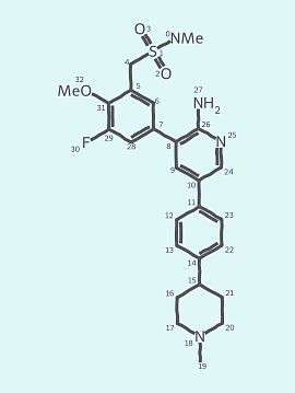 CNS(=O)(=O)Cc1cc(-c2cc(-c3ccc(C4CCN(C)CC4)cc3)cnc2N)cc(F)c1OC